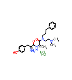 C[C@@H](NC(=O)[C@@H](N)Cc1ccc(O)cc1)C(=O)N(CCCc1ccccc1)CCN(C)C.Cl.Cl